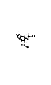 O=C(O)Oc1cc2nc[nH]c2cc1OC(=O)O